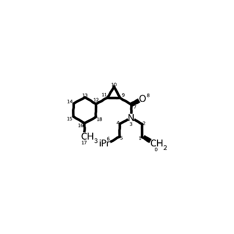 C=CCN(CCC(C)C)C(=O)C1CC1C1CCCC(C)C1